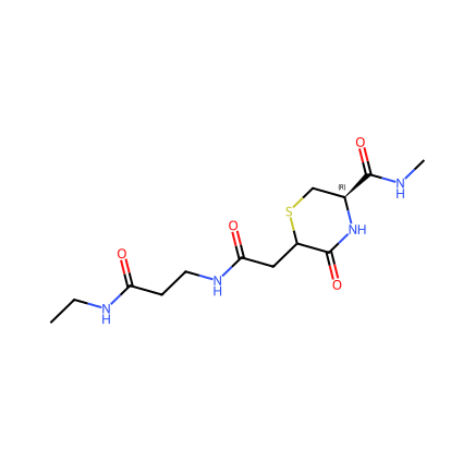 CCNC(=O)CCNC(=O)CC1SC[C@@H](C(=O)NC)NC1=O